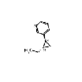 CC[C@H]1C[C@@H]1c1cccnc1